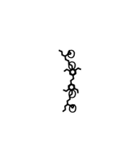 CCCC(CCCOc1c(CC)cc(CCc2cc(CC)c(OCCCC(CCC)C3CO3)c(CC)c2)cc1CC)C1CO1